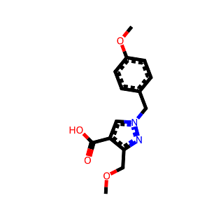 COCc1nn(Cc2ccc(OC)cc2)cc1C(=O)O